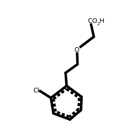 O=C(O)COCCc1ccccc1Cl